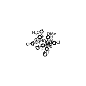 CC1CCCCN1c1ccc(NC(=O)Nc2ccc(Cl)cc2)cc1F.COc1ccc(NC(=O)Nc2ccc(N3CCCCC3)c(F)c2)cc1.O=C(Nc1ccc(N2CCCCC2)c(F)c1)Nc1ccc(Cl)cc1O